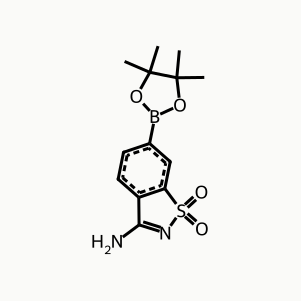 CC1(C)OB(c2ccc3c(c2)S(=O)(=O)N=C3N)OC1(C)C